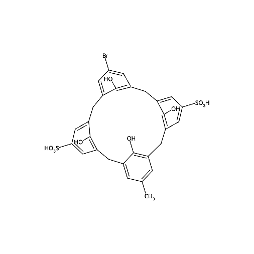 Cc1cc2c(O)c(c1)Cc1cc(S(=O)(=O)O)cc(c1O)Cc1cc(Br)cc(c1O)Cc1cc(S(=O)(=O)O)cc(c1O)C2